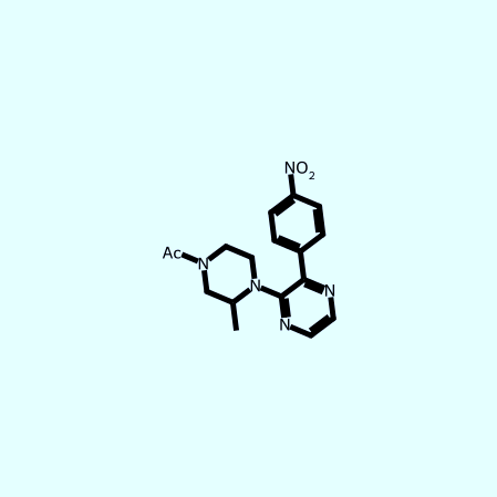 CC(=O)N1CCN(c2nccnc2-c2ccc([N+](=O)[O-])cc2)C(C)C1